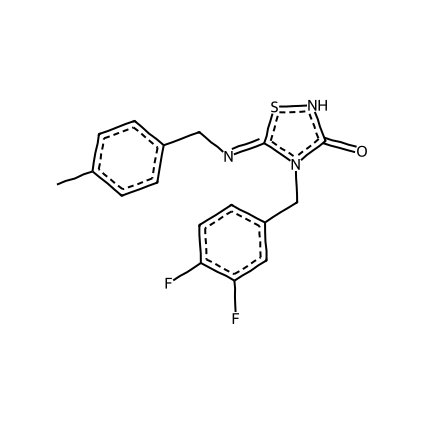 Cc1ccc(C/N=c2\s[nH]c(=O)n2Cc2ccc(F)c(F)c2)cc1